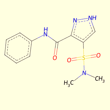 CN(C)S(=O)(=O)c1c[nH]nc1C(=O)Nc1ccccc1